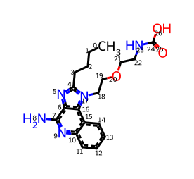 CCCCc1nc2c(N)nc3ccccc3c2n1CCOCCNC(=O)O